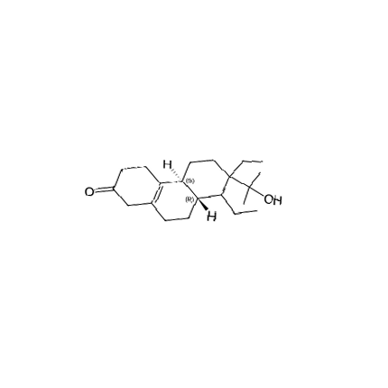 CCC1[C@@H]2CCC3=C(CCC(=O)C3)[C@H]2CCC1(CC)C(C)(C)O